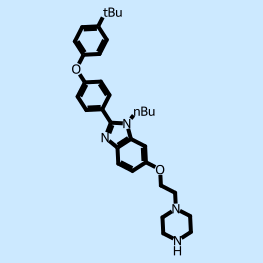 CCCCn1c(-c2ccc(Oc3ccc(C(C)(C)C)cc3)cc2)nc2ccc(OCCN3CCNCC3)cc21